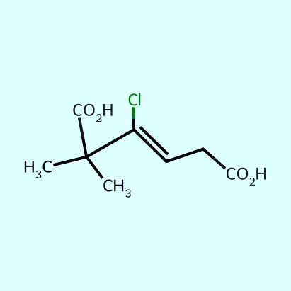 CC(C)(C(=O)O)C(Cl)=CCC(=O)O